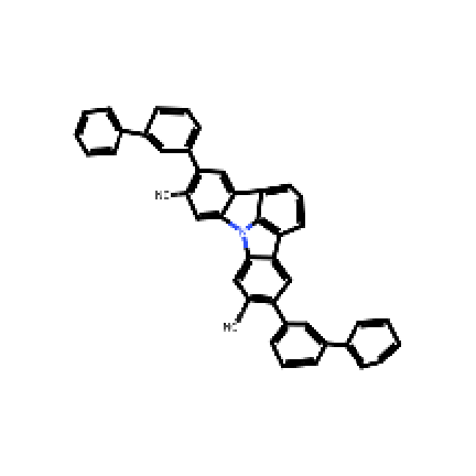 N#Cc1cc2c(cc1-c1cccc(-c3ccccc3)c1)c1cccc3c4cc(-c5cccc(-c6ccccc6)c5)c(C#N)cc4n2c13